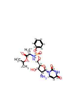 CC(C)OC(=O)[C@H](C)N[P@@](=O)(OC[C@H]1O[C@@H](n2ccc(=O)[nH]c2=O)[C@H](N)[C@@H]1O)Oc1ccccc1